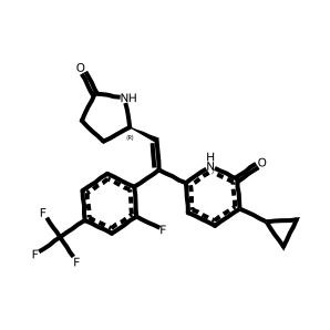 O=C1CC[C@H](C=C(c2ccc(C3CC3)c(=O)[nH]2)c2ccc(C(F)(F)F)cc2F)N1